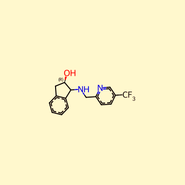 O[C@@H]1Cc2ccccc2C1NCc1ccc(C(F)(F)F)cn1